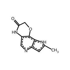 Cc1cc2ncc3c(c2[nH]1)OCC(=O)N3